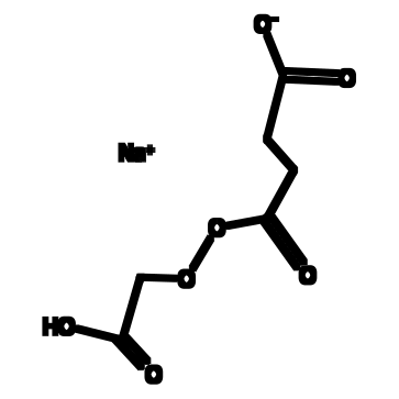 O=C([O-])CCC(=O)OOCC(=O)O.[Na+]